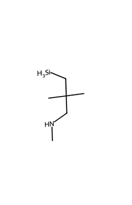 CNCC(C)(C)C[SiH3]